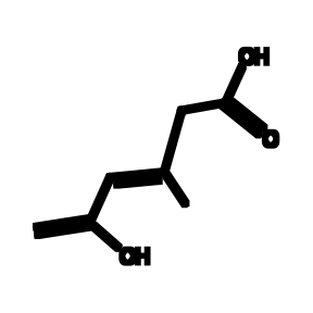 C=C(O)/C=C(\C)CC(=O)O